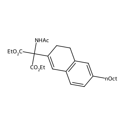 CCCCCCCCc1ccc2c(c1)CCC(C(NC(C)=O)(C(=O)OCC)C(=O)OCC)=C2